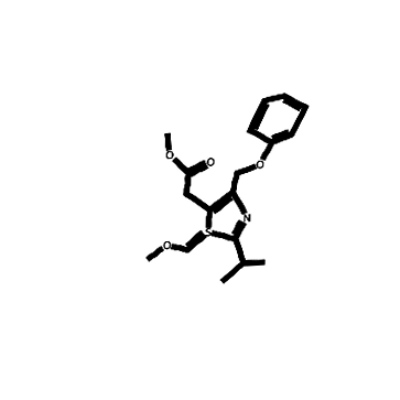 COC=S1C(C(C)C)=NC(COc2ccccc2)=C1CC(=O)OC